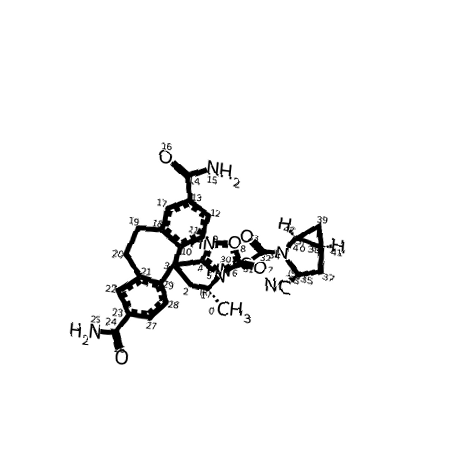 C[C@H](CC1(c2nc(=O)o[nH]2)c2ccc(C(N)=O)cc2CCc2cc(C(N)=O)ccc21)NCC(=O)N1[C@H](C#N)C[C@@H]2C[C@@H]21